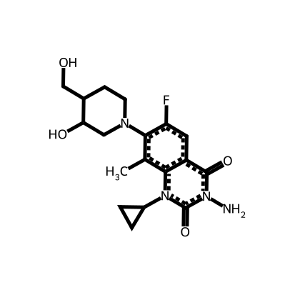 Cc1c(N2CCC(CO)C(O)C2)c(F)cc2c(=O)n(N)c(=O)n(C3CC3)c12